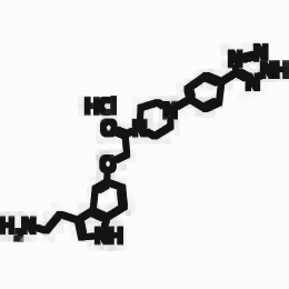 Cl.NCCc1c[nH]c2ccc(OCC(=O)N3CCN(c4ccc(-c5nn[nH]n5)cc4)CC3)cc12